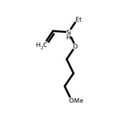 C=C[SiH](CC)OCCCOC